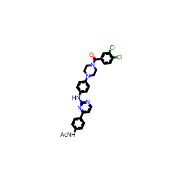 CC(=O)Nc1ccc(-c2ccnc(Nc3ccc(N4CCN(C(=O)c5ccc(Cl)c(Cl)c5)CC4)cc3)n2)cc1